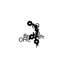 CC(C)c1c(OC2CN(C(=O)OCc3ccccc3)C2)nc2cc(Br)c(C=O)cc2c1-c1ccc(F)cc1